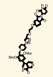 COc1cc(-c2cn(C)c(=O)c3cnccc23)cc(OC)c1CN1CCC(n2cc(COCCOc3ccc4c(c3)C(=O)N(C3CCC(=O)NC3=O)C4=O)nn2)CC1